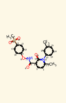 Cc1ccc(C(=O)NOc2ccc(S(C)(=O)=O)cc2)c(=O)n1-c1cccc(C(F)(F)F)c1